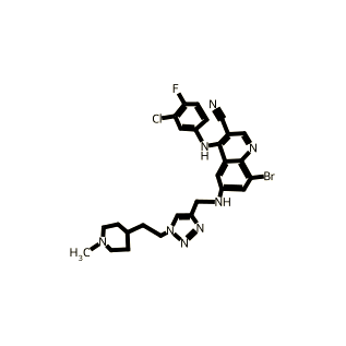 CN1CCC(CCn2cc(CNc3cc(Br)c4ncc(C#N)c(Nc5ccc(F)c(Cl)c5)c4c3)nn2)CC1